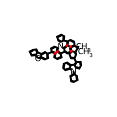 CC1(C)c2ccc(-c3ccccc3N(c3ccc(-c4ccc5oc6ccccc6c5c4)cc3)c3ccccc3-c3ccccc3)cc2-c2ccc(-c3cccc4c3c3ccccc3n4-c3ccccc3)cc21